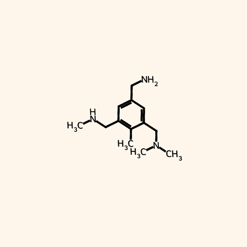 CNCc1cc(CN)cc(CN(C)C)c1C